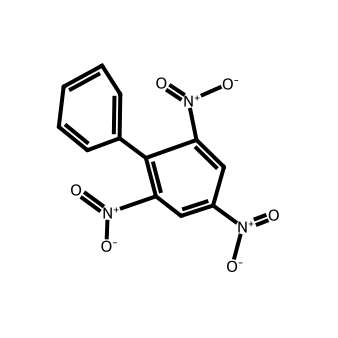 O=[N+]([O-])c1cc([N+](=O)[O-])c(-c2ccccc2)c([N+](=O)[O-])c1